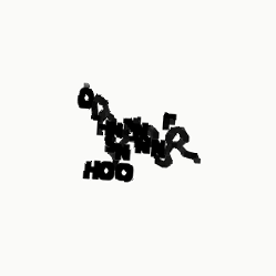 C/C=C/c1ccc(F)cc1C1CCCN1c1ccn2nc(NCc3ccc(OC)cc3)c(-c3nc(C(=O)O)cs3)c2n1